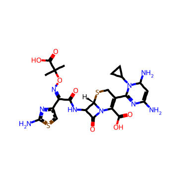 CC(C)(O/N=C(\C(=O)NC1C(=O)N2C(C(=O)O)=C(C3=NC(N)=CC(N)N3C3CC3)CS[C@@H]12)c1csc(N)n1)C(=O)O